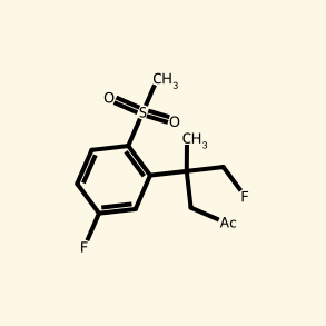 CC(=O)CC(C)(CF)c1cc(F)ccc1S(C)(=O)=O